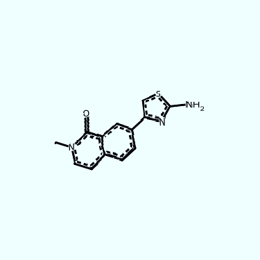 Cn1ccc2ccc(-c3csc(N)n3)cc2c1=O